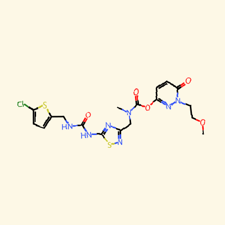 COCCn1nc(OC(=O)N(C)Cc2nsc(NC(=O)NCc3ccc(Cl)s3)n2)ccc1=O